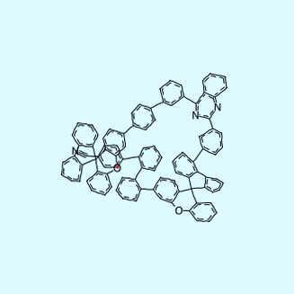 N#Cc1ccc(-c2ccccc2-c2ccccc2-c2ccc3c(c2)Oc2ccccc2C32c3ccccc3-c3c(-c4cccc(-c5nc(-c6cccc(-c7ccc(-c8ccc9c(c8)Oc8ccccc8C98c9ccccc9-c9ccccc98)cc7)c6)c6ccccc6n5)c4)cccc32)cc1